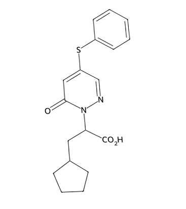 O=C(O)C(CC1CCCC1)n1ncc(Sc2ccccc2)cc1=O